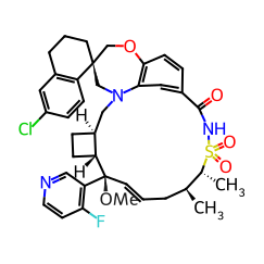 CO[C@]1(c2cnccc2F)/C=C/C[C@H](C)[C@@H](C)S(=O)(=O)NC(=O)c2ccc3c(c2)N(C[C@@H]2CC[C@H]21)C[C@@]1(CCCc2cc(Cl)ccc21)CO3